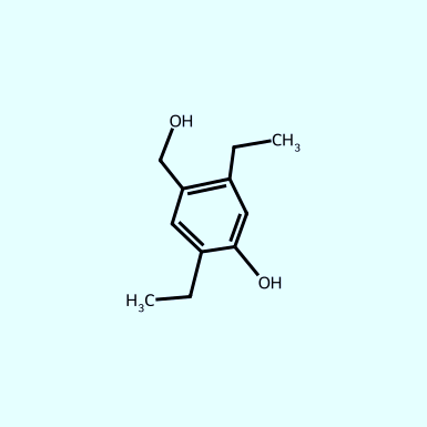 CCc1cc(CO)c(CC)cc1O